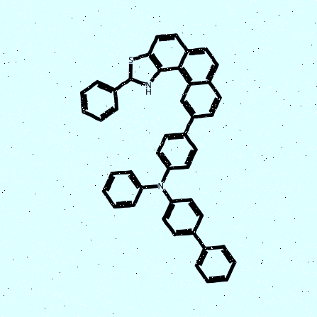 c1ccc(-c2ccc(N(c3ccccc3)c3ccc(-c4ccc5ccc6ccc7c(c6c5c4)NC(c4ccccc4)S7)cc3)cc2)cc1